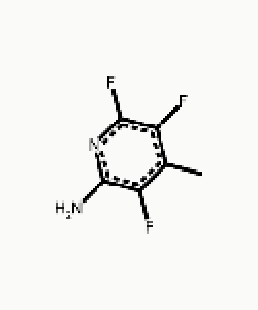 Cc1c(F)c(N)nc(F)c1F